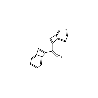 C=C(C1=Cc2ccccc21)C1=Cc2ccccc21